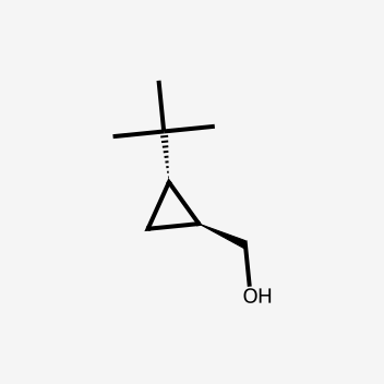 CC(C)(C)[C@H]1C[C@@H]1CO